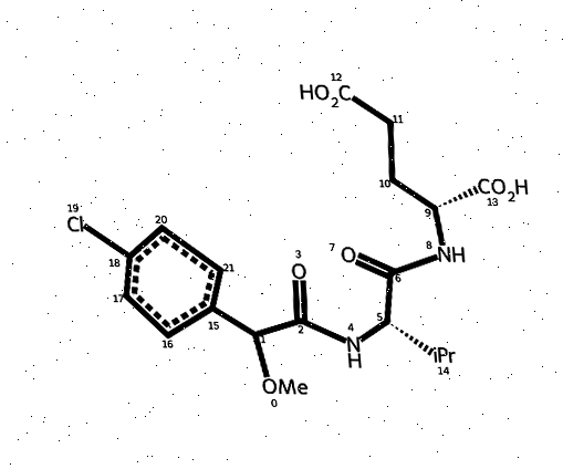 COC(C(=O)N[C@H](C(=O)N[C@H](CCC(=O)O)C(=O)O)C(C)C)c1ccc(Cl)cc1